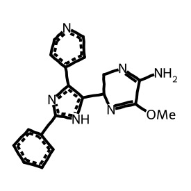 COC1=NC(c2[nH]c(-c3ccccc3)nc2-c2ccncc2)CN=C1N